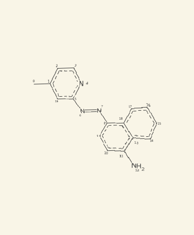 Cc1ccnc(/N=N/c2ccc(N)c3ccccc23)c1